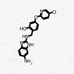 Nc1ccc2nc(NCc3ccc(Oc4ccc(Cl)cn4)cc3O)[nH]c2c1